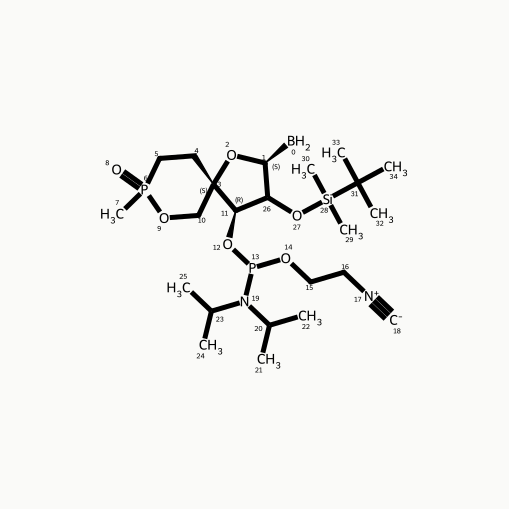 B[C@@H]1O[C@]2(CCP(C)(=O)OC2)[C@H](OP(OCC[N+]#[C-])N(C(C)C)C(C)C)C1O[Si](C)(C)C(C)(C)C